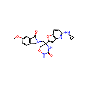 COc1ccc2c(c1)C(=O)N(C[C@]1(c3cc4nc(NC5CC5)ccc4o3)CONC(=O)N1)C2